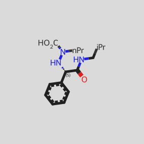 CCCN(N[C@H](C(=O)NCC(C)C)c1ccccc1)C(=O)O